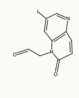 O=CCn1c(=O)ccc2ncc(I)cc21